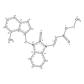 CCOC(=O)/C=C/n1c(=O)n(Cc2csc3cccc(C)c23)c2ccccc21